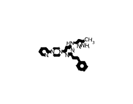 Cc1cc(Nc2cc(N3CCN(c4ccccn4)CC3)nc(/C=C/c3ccccc3)n2)n[nH]1